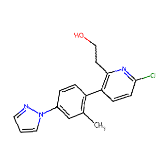 Cc1cc(-n2cccn2)ccc1-c1ccc(Cl)nc1CCO